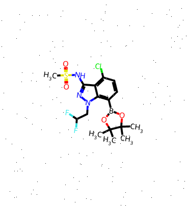 CC1(C)OB(c2ccc(Cl)c3c(NS(C)(=O)=O)nn(CC(F)F)c23)OC1(C)C